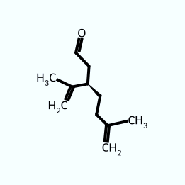 C=C(C)CC[C@H](CC=O)C(=C)C